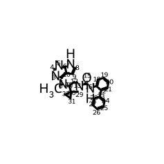 CN(c1ncnc2[nH]ccc12)[C@H]1CN(C(=O)Nc2ccccc2-c2ccccc2)CC12CC2